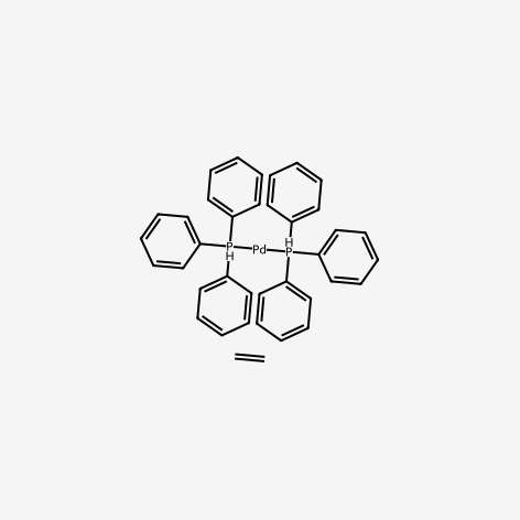 C=C.c1ccc([PH]([Pd][PH](c2ccccc2)(c2ccccc2)c2ccccc2)(c2ccccc2)c2ccccc2)cc1